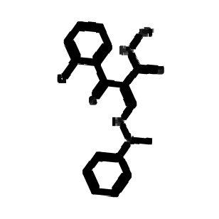 CCCNC(=O)C(=CNN(C)c1ccccc1)C(=O)c1ccccc1Cl